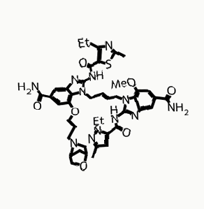 CCc1nc(C)sc1C(=O)Nc1nc2cc(C(N)=O)cc(OCCCN3CC4CC3CO4)c2n1C/C=C/Cn1c(NC(=O)c2cc(C)nn2CC)nc2cc(C(N)=O)cc(OC)c21